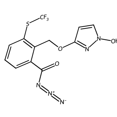 [N-]=[N+]=NC(=O)c1cccc(SC(F)(F)F)c1COc1ccn(O)n1